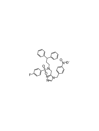 O=[N+]([O-])c1ccc(Cn2cnnc2CN(CCC(c2ccccc2)c2ccccc2)S(=O)(=O)c2ccc(F)cc2)cc1